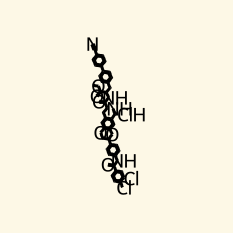 COC(=O)C(Cc1ccc(-c2ccc(C#N)cc2)cc1)NC(=O)C1Cc2cc3c(cc2CN1)OC(c1ccc(NC(=O)c2ccc(Cl)c(Cl)c2)cc1)CO3.Cl